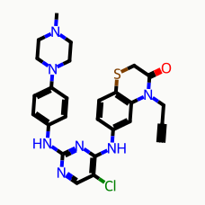 C#CCN1C(=O)CSc2ccc(Nc3nc(Nc4ccc(N5CCN(C)CC5)cc4)ncc3Cl)cc21